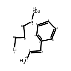 CC=Cc1ccccc1.[Li][CH2]CCSC(C)(C)C